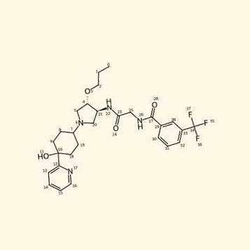 CCCO[C@H]1CN(C2CCC(O)(c3ccccn3)CC2)C[C@@H]1NC(=O)CNC(=O)c1cccc(C(F)(F)F)c1